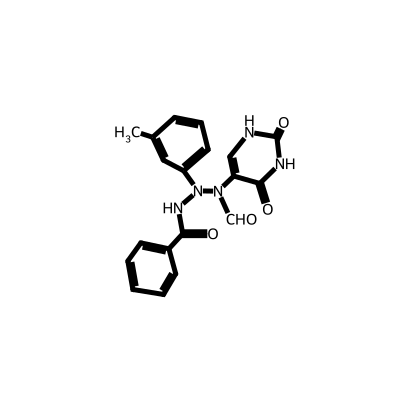 Cc1cccc(N(NC(=O)c2ccccc2)N(C=O)c2c[nH]c(=O)[nH]c2=O)c1